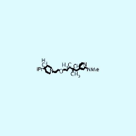 CNc1cc(CC(C)(C)C(C)CCOCCN2CCC(C)(C(C)C)CC2)ccn1